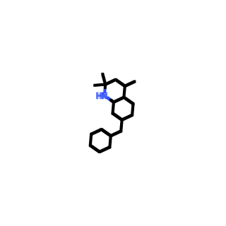 CC1CC(C)(C)NC2CC(CC3CCCCC3)CCC12